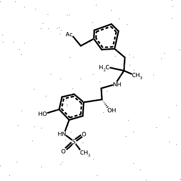 CC(=O)Cc1cccc(CC(C)(C)NC[C@H](O)c2ccc(O)c(NS(C)(=O)=O)c2)c1